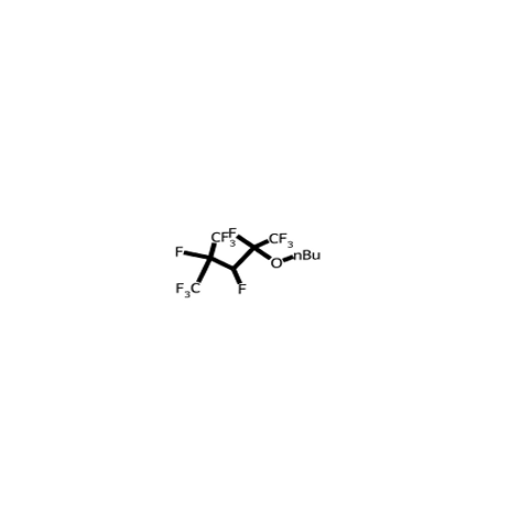 CCCCOC(F)(C(F)C(F)(C(F)(F)F)C(F)(F)F)C(F)(F)F